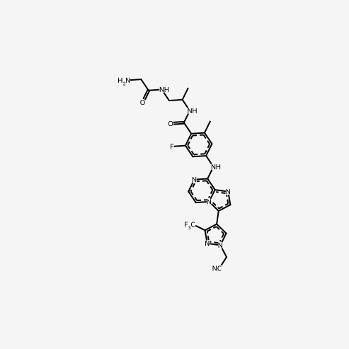 Cc1cc(Nc2nccn3c(-c4cn(CC#N)nc4C(F)(F)F)cnc23)cc(F)c1C(=O)NC(C)CNC(=O)CN